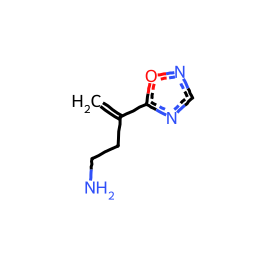 C=C(CCN)c1ncno1